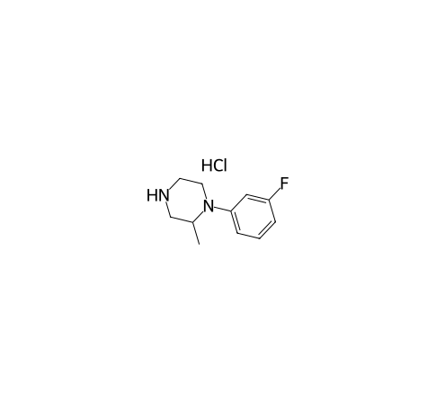 CC1CNCCN1c1cccc(F)c1.Cl